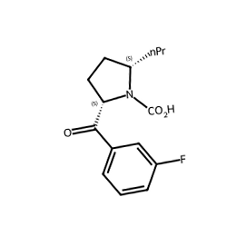 CCC[C@H]1CC[C@@H](C(=O)c2cccc(F)c2)N1C(=O)O